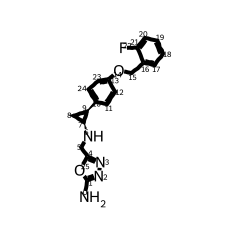 Nc1nnc(CN[C@@H]2C[C@H]2c2ccc(OCc3ccccc3F)cc2)o1